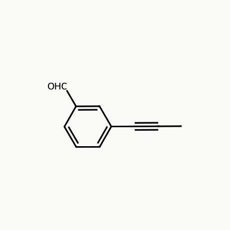 CC#Cc1cccc(C=O)c1